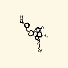 C=c1/c(=c2\c(=C/N)c(=O)ccn2[C@H]2CN(Cc3cccc([C@@H]4CN4)c3)CC[C@H]2C)ccn1COCC[Si](C)(C)C